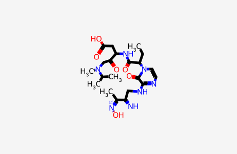 CCC(C(=O)NC(CC(=O)O)C(=O)CN(C)C(C)C)n1ccnc(NCC(=N)/C(C)=N\O)c1=O